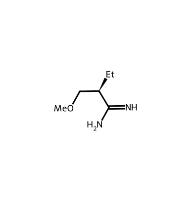 CC[C@H](COC)C(=N)N